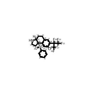 O=S(=O)(c1ccccc1)[C@@]12CCN[C@@H]1CCc1cc(C(F)(C(F)(F)F)C(F)(F)F)c(Cl)cc12